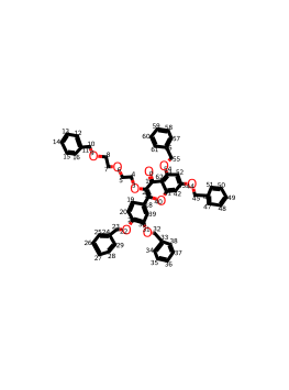 O=c1c(OCCOCCOCc2ccccc2)c(-c2ccc(OCc3ccccc3)c(OCc3ccccc3)c2)oc2cc(OCc3ccccc3)cc(OCc3ccccc3)c12